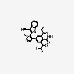 CCc1n[nH]c(=O)c2c(C(=O)C(F)F)cc(-c3cnn(C)c3-c3sc4ccccc4c3C#N)cc12